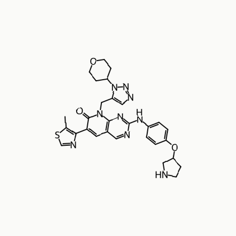 Cc1scnc1-c1cc2cnc(Nc3ccc(OC4CCNC4)cc3)nc2n(Cc2cnnn2C2CCOCC2)c1=O